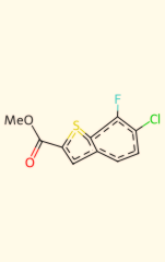 COC(=O)c1cc2ccc(Cl)c(F)c2s1